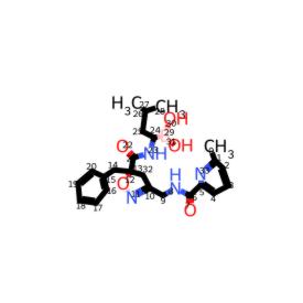 Cc1cccc(C(=O)NCC2=NOC(Cc3ccccc3)(C(=O)NC(CC(C)C)B(O)O)C2)n1